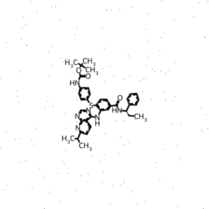 CC[C@@H](NC(=O)c1ccc(Sc2ccc(NC(=O)OC(C)(C)C)cc2)c(Nc2ncnc3nc(C(C)C)ccc23)c1)c1ccccc1